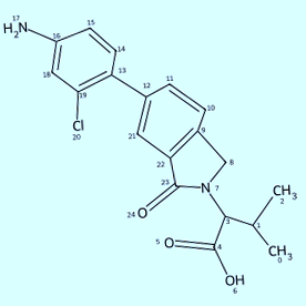 CC(C)C(C(=O)O)N1Cc2ccc(-c3ccc(N)cc3Cl)cc2C1=O